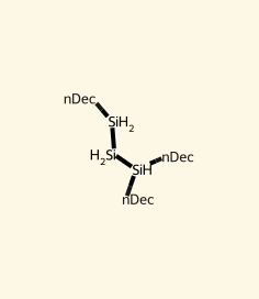 CCCCCCCCCC[SiH2][SiH2][SiH](CCCCCCCCCC)CCCCCCCCCC